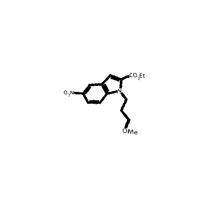 CCOC(=O)c1cc2cc([N+](=O)[O-])ccc2n1CCCOC